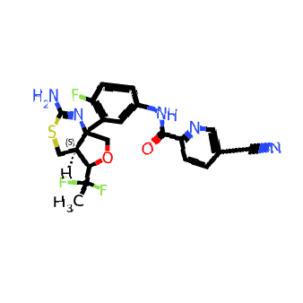 CC(F)(F)C1OCC2(c3cc(NC(=O)c4ccc(C#N)cn4)ccc3F)N=C(N)SC[C@H]12